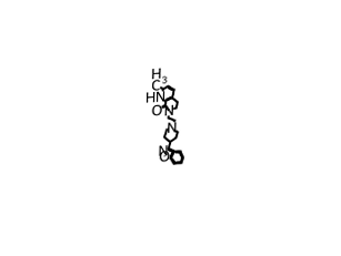 CC1C=CC2=C(N1)C(=O)N(CCN1CCC(c3noc4ccccc34)CC1)CC2